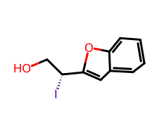 OC[C@@H](I)c1cc2ccccc2o1